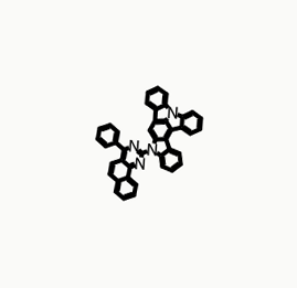 c1ccc(-c2nc(-n3c4ccccc4c4c5c6ccccc6n6c7ccccc7c(cc43)c56)nc3c2ccc2ccccc23)cc1